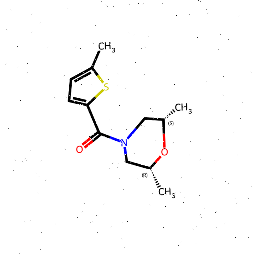 Cc1ccc(C(=O)N2C[C@@H](C)O[C@@H](C)C2)s1